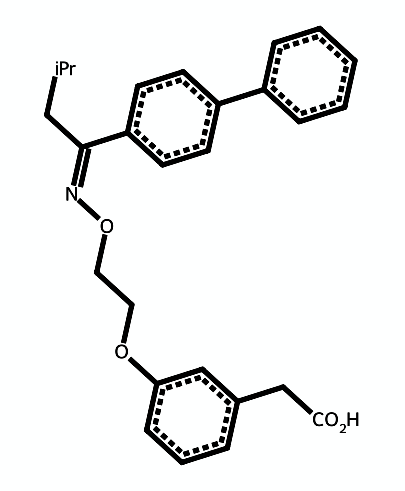 CC(C)CC(=NOCCOc1cccc(CC(=O)O)c1)c1ccc(-c2ccccc2)cc1